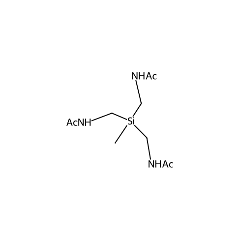 CC(=O)NC[Si](C)(CNC(C)=O)CNC(C)=O